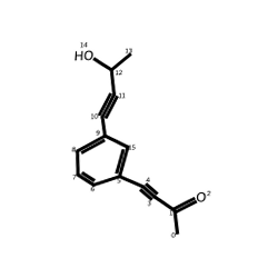 CC(=O)C#Cc1cccc(C#CC(C)O)c1